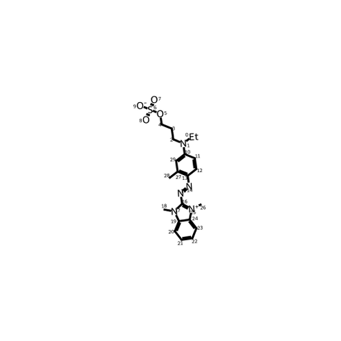 CCN(CCCOS(=O)(=O)[O-])c1ccc(N=Nc2n(C)c3ccccc3[n+]2C)c(C)c1